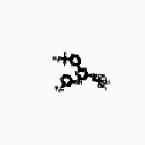 CC(C)(O)CNc1cc(Nc2ccnc(C(F)(F)F)c2)nc(-c2cccc(C(C)(F)F)n2)n1